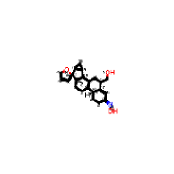 C[C@]12CCC3C(CC(CO)C4=CC(=NO)CC[C@@H]43)C1C1CC1[C@@]21C=CCO1